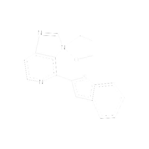 CC[N+]1(OC)C=Nc2ccnc(-c3cc4ccccc4s3)c21